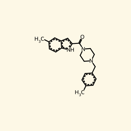 Cc1ccc(CN2CCN(C(=O)c3cc4cc(C)ccc4[nH]3)CC2)cc1